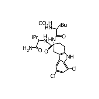 CCC(C)C(NC(=O)O)C(=O)N[C@]1(C(=O)N[C@H](C(N)=O)C(C)C)CCc2[nH]c3c(Cl)cc(Cl)cc3c2C1